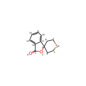 O=C1OC2(CCSCC2)c2ccccc21